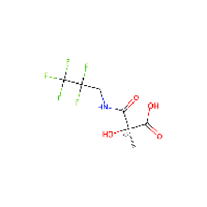 C[C@@](O)(C(=O)O)C(=O)NCC(F)(F)C(F)(F)F